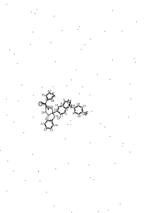 Cc1cc2c(cnn2-c2ccc(F)cc2)cc1C1(Cc2ccccc2)CCN(C(=O)c2ccsc2)C1